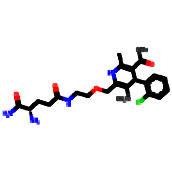 CCOC(=O)C1=C(COCCNC(=O)CC[C@H](N)C(N)=O)NC(C)=C(C(=O)OC)C1c1ccccc1Cl